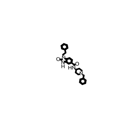 O=C(NC1CCN(Cc2ccccc2)CC1)c1ccc2c(c1)[nH]c(=O)n2CCc1ccccc1